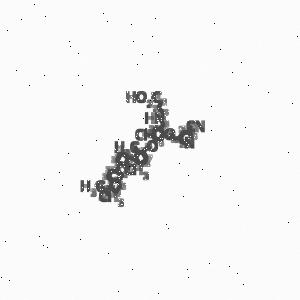 Cc1c(COc2cc(OCc3cncc(C#N)c3)c(CNCCCC(=O)O)cc2Cl)cccc1-c1cccc(-c2ccc3c(c2)CCC3N(C)C)c1C